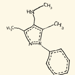 CNc1c(C)nn(-c2ccccc2)c1C